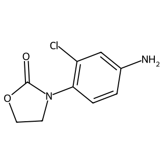 Nc1ccc(N2CCOC2=O)c(Cl)c1